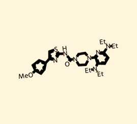 CCN(CC)c1ccc(N(CC)CC)c(N2CCN(C(=O)Nc3nc(-c4ccc(OC)cc4)cs3)CC2)n1